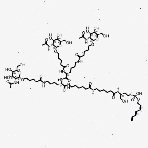 C=C/C=C/C=C\COP(=O)(O)OCC[C@@H](CO)NC(=O)CCCCCNC(=O)CCCCCNC(=O)[C@H](CCCCNC(=O)CCCCO[C@@H]1O[C@H](CO)[C@H](O)[C@H](O)[C@H]1NC(C)=O)NC(=O)[C@H](CCCCNC(=O)CCCCO[C@@H]1O[C@H](CO)[C@H](O)[C@H](O)[C@H]1NC(C)=O)NC(=O)CCCCO[C@@H]1O[C@H](CO)[C@H](O)[C@H](O)[C@H]1NC(C)=O